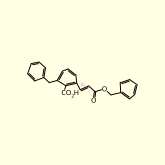 O=C(/C=C/c1cccc(Cc2ccccc2)c1C(=O)O)OCc1ccccc1